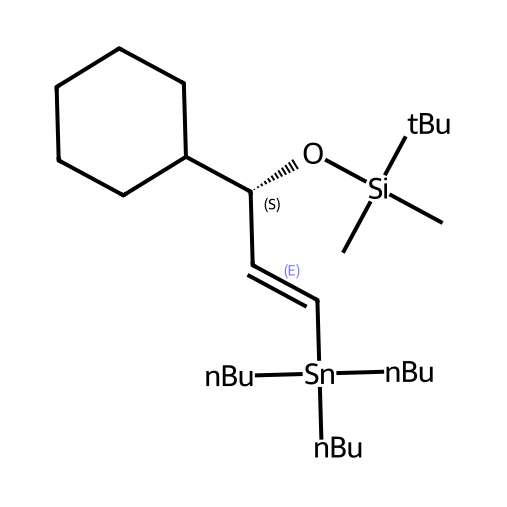 CCC[CH2][Sn](/[CH]=C/[C@@H](O[Si](C)(C)C(C)(C)C)C1CCCCC1)([CH2]CCC)[CH2]CCC